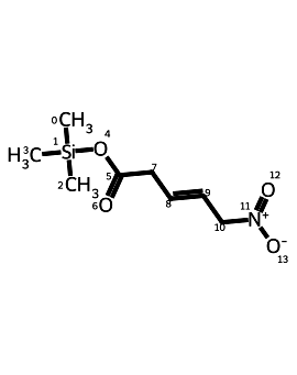 C[Si](C)(C)OC(=O)CC=CC[N+](=O)[O-]